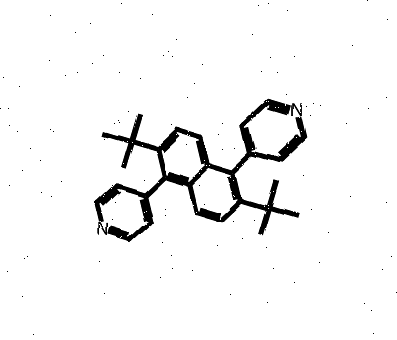 CC(C)(C)c1ccc2c(-c3ccncc3)c(C(C)(C)C)ccc2c1-c1ccncc1